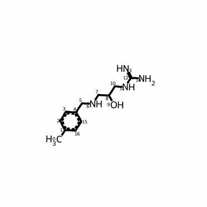 Cc1ccc(CNCC(O)CNC(=N)N)cc1